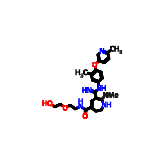 CNC1=C(C(=N)Nc2ccc(Oc3ccc(C)nc3)c(C)c2)C=C(C(=O)NCCOCCO)CCN1